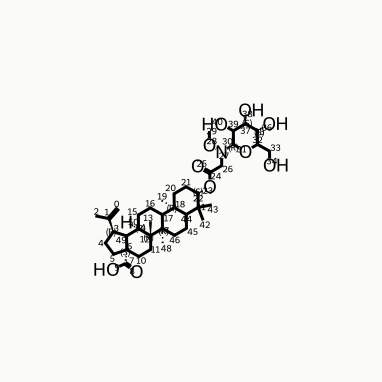 C=C(C)[C@@H]1CC[C@]2(C(=O)O)CC[C@]3(C)[C@H](CCC4[C@@]5(C)CC[C@H](OC(=O)CN(OC)[C@@H]6OC(CO)[C@@H](O)[C@H](O)C6O)C(C)(C)C5CC[C@]43C)C12